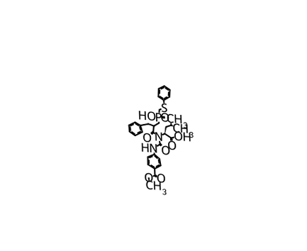 COC(=O)c1ccc(NC(=O)N(C(=O)C(Cc2ccccc2)CP(=O)(O)CSc2ccccc2)[C@@H](CC(C)C)C(=O)O)cc1